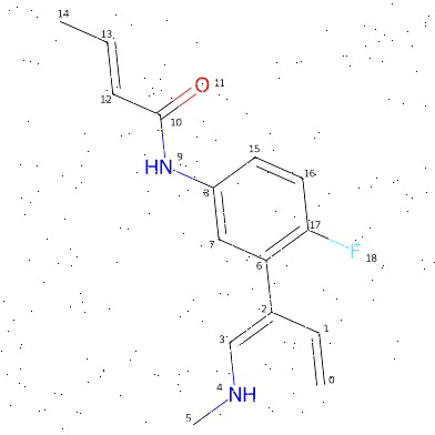 C=C/C(=C\NC)c1cc(NC(=O)/C=C/C)ccc1F